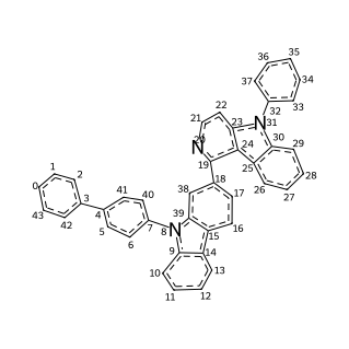 c1ccc(-c2ccc(-n3c4ccccc4c4ccc(-c5nccc6c5c5ccccc5n6-c5ccccc5)cc43)cc2)cc1